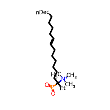 CCCCCCCCCCCCCCC=CCCCCCCC(CC)(P(=O)=O)[N+](C)(C)C